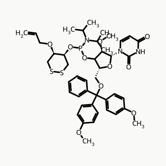 C=CCO[C@@H]1CSSC[C@@H]1OP(OC1[C@@H](OC)[C@H](n2ccc(=O)[nH]c2=O)O[C@@H]1COC(c1ccccc1)(c1ccc(OC)cc1)c1ccc(OC)cc1)N(C(C)C)C(C)C